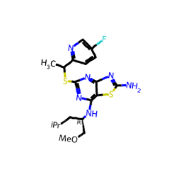 COC[C@@H](CC(C)C)Nc1nc(SC(C)c2ccc(F)cn2)nc2nc(N)sc12